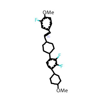 COc1ccc(/C=C/C2CCC(c3ccc(C4CCC(OC)CC4)c(F)c3F)CC2)cc1F